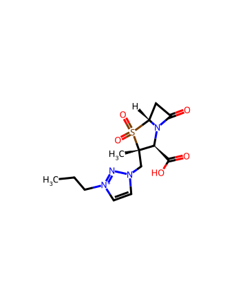 CCC[n+]1ccn(C[C@@]2(C)[C@H](C(=O)O)N3C(=O)C[C@H]3S2(=O)=O)n1